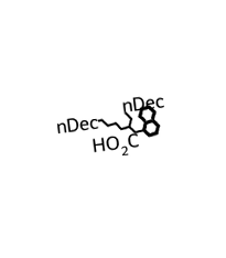 CCCCCCCCCCCCCCC(CCCCCCCCCCCC)C(C(=O)O)c1cccc2ccccc12